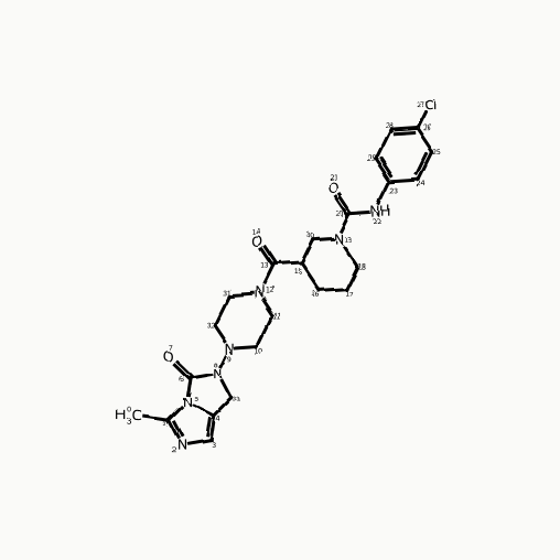 Cc1ncc2n1C(=O)N(N1CCN(C(=O)C3CCCN(C(=O)Nc4ccc(Cl)cc4)C3)CC1)C2